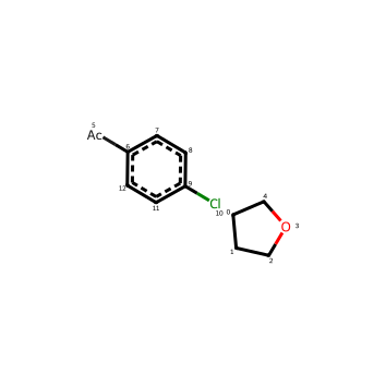 C1CCOC1.CC(=O)c1ccc(Cl)cc1